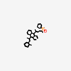 C=CC1=C(/C(C)=C/C=C(\C)P(C)(=O)C2=CC=CCC2)C2C=CC=CC2C(/C(C)=C/c2ccccc2C)=C1C=C